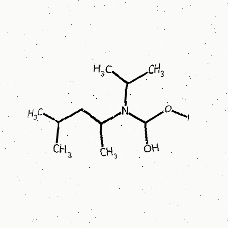 CC(C)CC(C)N(C(C)C)C(O)OI